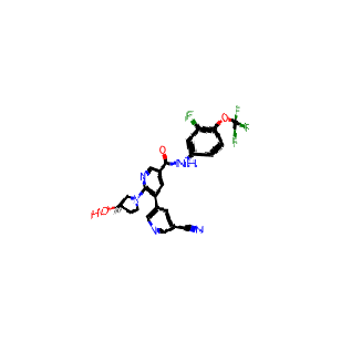 N#Cc1cncc(-c2cc(C(=O)Nc3ccc(OC(F)(F)F)c(F)c3)cnc2N2CC[C@@H](O)C2)c1